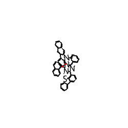 c1ccc(-n2c3ccccc3c3cc4ccccc4cc32)c(-c2nc(-c3cccc4ccccc34)nc(-c3cccc4c3sc3ccccc34)n2)c1